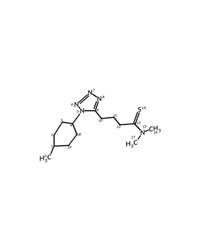 CC1CCC(n2nnnc2CCCC(=S)N(C)C)CC1